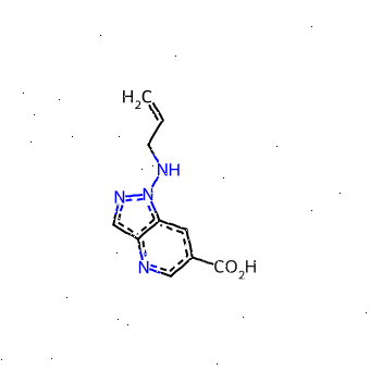 C=CCNn1ncc2ncc(C(=O)O)cc21